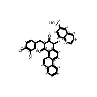 CC1C(=O)C(Cc2ccc(Cl)c(Cl)c2)C(=O)c2c1ccc1c2ccc2ccccc21.O=C(O)c1ccc2ncncc2c1